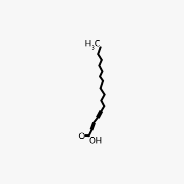 CCCCCCCCCCCCC#CC#CC(=O)O